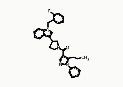 CCCc1c(C(=O)N2CCC(c3cn(Cc4ccccc4F)c4ccccc34)C2)cnn1-c1ccccc1